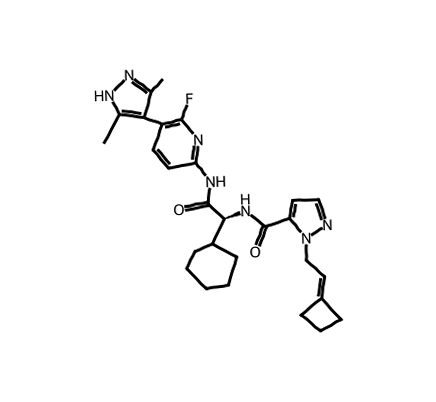 Cc1n[nH]c(C)c1-c1ccc(NC(=O)[C@@H](NC(=O)c2ccnn2CC=C2CCC2)C2CCCCC2)nc1F